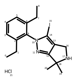 CCc1cccc(CC)c1-n1nc2c(c1I)CNC2(C)C.Cl